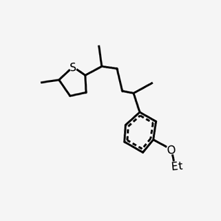 CCOc1cccc(C(C)CCC(C)C2CCC(C)S2)c1